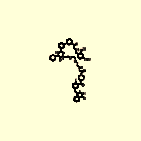 CCOc1cc(OC)ccc1CNCC(=O)N1CCCC(c2cccc(C(=O)N[C@@H](C(=O)NCCOCCOCCNCC(=O)N3CCN(C(=O)c4cc(Cc5n[nH]c(=O)c6ccccc56)ccc4F)CC3)C3CCCCC3)c2)C1